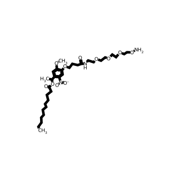 CCCCCCCCCCCC(=O)OC(C)c1cc(OC)c(OCCCC(=O)NCCOCCOCCOCCON)cc1[N+](=O)[O-]